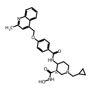 Cc1cc(COc2ccc(C(=O)NC3CCN(CC4CC4)C[C@H]3C(=O)NO)cc2)c2ccccc2n1